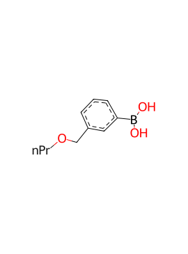 CCCOCc1cccc(B(O)O)c1